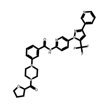 O=C(Nc1ccc(-n2nc(-c3cccnc3)cc2C(F)(F)F)cn1)c1cccc(N2CCN(C(=O)C3CCCO3)CC2)c1